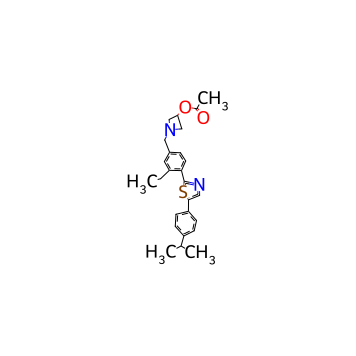 CCc1cc(CN2CC(OC(C)=O)C2)ccc1-c1ncc(-c2ccc(C(C)C)cc2)s1